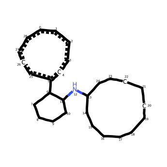 c1ccccc(C2CCCCC2NC2CCCCCCCCCCC2)cccc1